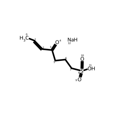 CC=CC(=O)CCCS(=O)(=O)O.[NaH]